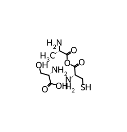 C[C@H](N)C(=O)OC(=O)[C@@H](N)CS.N[C@@H](CO)C(=O)O